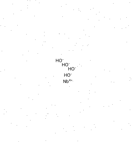 [Nb+4].[OH-].[OH-].[OH-].[OH-]